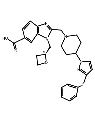 O=C(O)c1ccc2nc(CN3CCC(n4ccc(Oc5ccccc5)n4)CC3)n(C[C@@H]3CCO3)c2c1